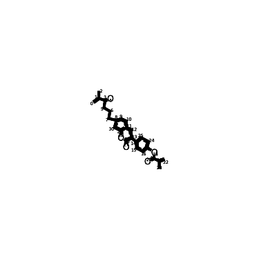 C=C(C)C(=O)CCCc1ccc2cc(-c3ccc(OC(=O)C(=C)C)cc3)c(=O)oc2c1